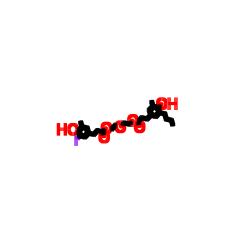 CCCCc1cc(CCC(=O)OCCOCCOC(=O)CCc2cc(C)c(O)c(I)c2)cc(C)c1O